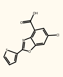 O=C(O)c1cc(Cl)cc2oc(-c3cccs3)nc12